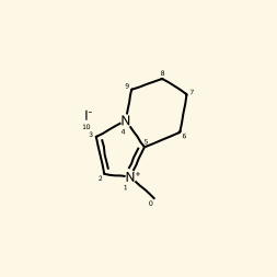 C[n+]1ccn2c1CCCC2.[I-]